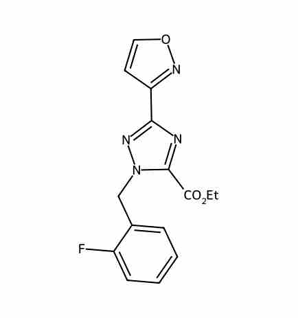 CCOC(=O)c1nc(-c2ccon2)nn1Cc1ccccc1F